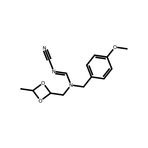 COc1ccc(CN(C=NC#N)CC2OC(C)O2)cc1